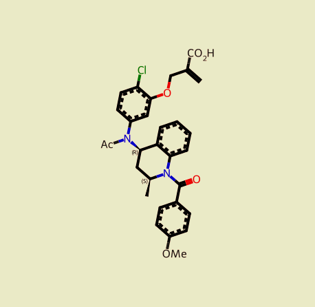 C=C(COc1cc(N(C(C)=O)[C@@H]2C[C@H](C)N(C(=O)c3ccc(OC)cc3)c3ccccc32)ccc1Cl)C(=O)O